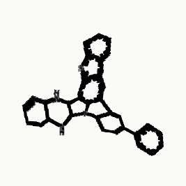 C1=CC2NC3c4c5c(cc6c4sc4ccccc46)C4=CC(c6ccccc6)=CCC4N5C3NC2C=C1